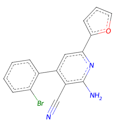 N#Cc1c(-c2ccccc2Br)cc(-c2ccco2)nc1N